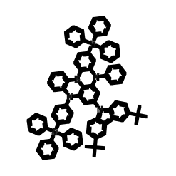 CC(C)(C)c1ccc2c(c1)c1cc(C(C)(C)C)ccc1n2-c1cc2c3c(c1)N(c1ccccc1)c1cc([Si](c4ccccc4)(c4ccccc4)c4ccccc4)ccc1B3c1ccccc1N2c1ccc([Si](c2ccccc2)(c2ccccc2)c2ccccc2)cc1